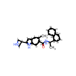 Cc1cc2cc(C3CNC3)[nH]c2cc1C(=O)NC(C)c1cccc2ccccc12